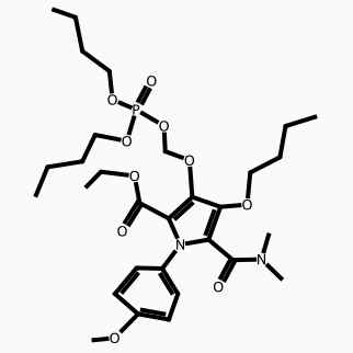 CCCCOc1c(OCOP(=O)(OCCCC)OCCCC)c(C(=O)OCC)n(-c2ccc(OC)cc2)c1C(=O)N(C)C